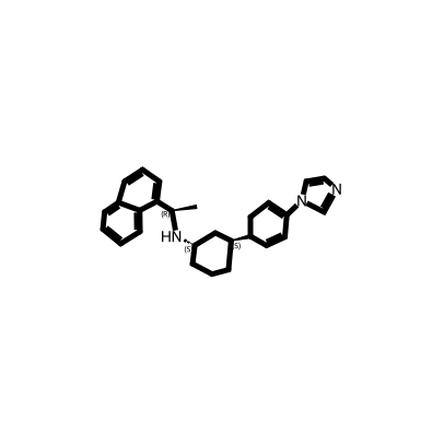 C[C@@H](N[C@H]1CCC[C@H](C2C=CC(n3ccnc3)=CC2)C1)c1cccc2ccccc12